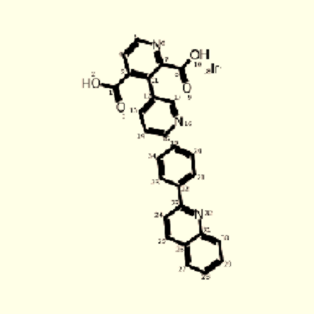 O=C(O)c1ccnc(C(=O)O)c1-c1cccnc1.[Ir].c1ccc(-c2ccc3ccccc3n2)cc1